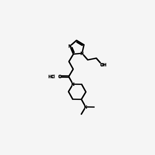 CN(C)C1CCN(C(=O)CCc2nccn2CCO)CC1.Cl